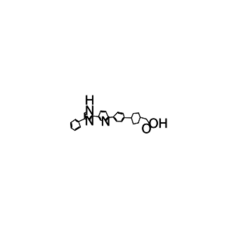 O=C(O)CC1CCC(c2ccc(-c3ccc(-c4nc(-c5ccccc5)c[nH]4)cn3)cc2)CC1